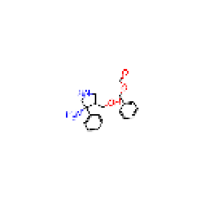 NC1(c2ccccc2)CNCC1CO.O=COCc1ccccc1